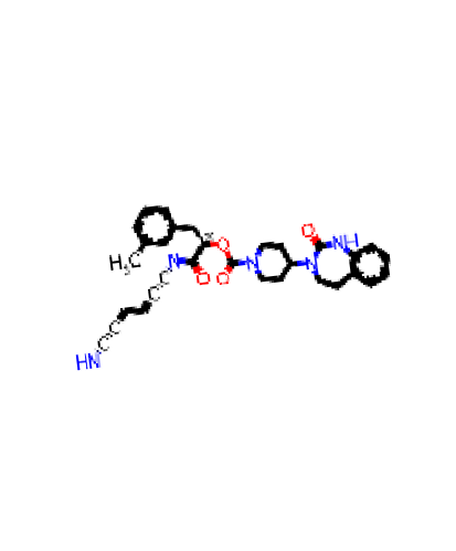 Cc1cccc(C[C@@H](OC(=O)N2CCC(N3CCc4ccccc4NC3=O)CC2)C(=O)N=C=C=CC=C=C=N)c1